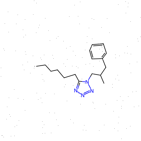 [CH2]CCCCCc1nnnn1CC(C)Cc1ccccc1